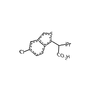 CC(C)C(C(=O)O)c1scc2cc(Cl)ccc12